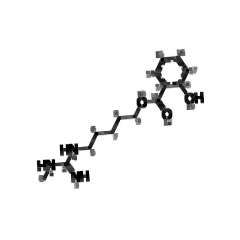 CNC(=N)NCCCCCOC(=O)c1ccccc1O